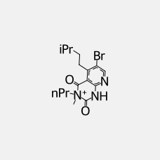 [CH2]CC[N+]1(C)C(=O)Nc2ncc(Br)c(CCC(C)C)c2C1=O